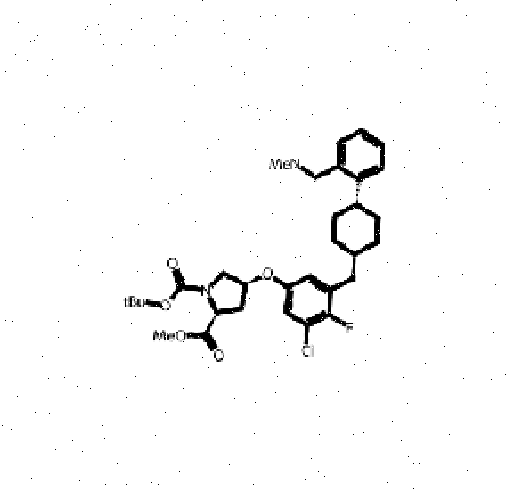 CNCc1ccccc1[C@H]1CC[C@H](Cc2cc(O[C@H]3C[C@@H](C(=O)OC)N(C(=O)OC(C)(C)C)C3)cc(Cl)c2F)CC1